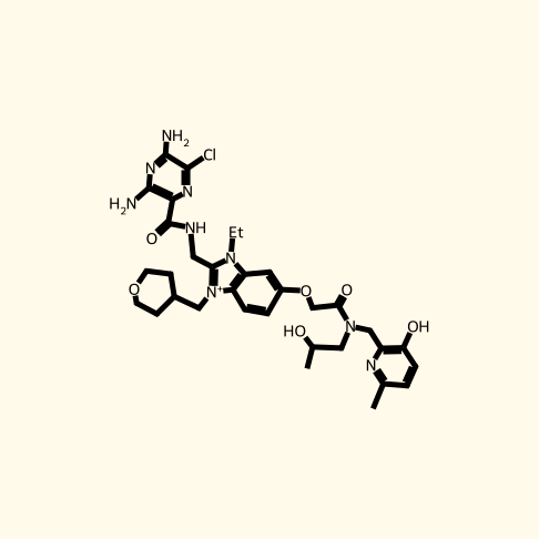 CCn1c(CNC(=O)c2nc(Cl)c(N)nc2N)[n+](CC2CCOCC2)c2ccc(OCC(=O)N(Cc3nc(C)ccc3O)CC(C)O)cc21